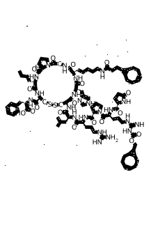 CCCC[C@@H]1NC(=O)[C@@H]2CCCN2C(=O)CNC(=O)[C@H](CCCCCNC(=O)CCC2C3CCC#CCCC32)NC(=O)[C@H](Cc2c[nH]cn2)NC(=O)[C@@H](NC(=O)[C@H](CC(C)C)NC(=O)[C@H](CCCNC(=N)N)NC(=O)[C@@H]2CCCN2C(=O)[C@H](CCCNC(=N)NC(=O)OCC2C3CCC#CCCC32)NC(=O)[C@@H]2CCC(=O)N2)CSSC[C@@H](C(=O)N[C@@H](Cc2ccccc2)C(=O)O)NC1=O